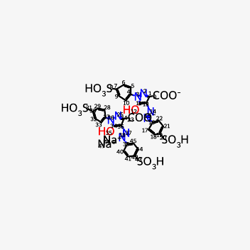 O=C([O-])c1nn(-c2ccc(S(=O)(=O)O)cc2)c(O)c1N=Nc1ccc(S(=O)(=O)O)cc1.O=C([O-])c1nn(-c2ccc(S(=O)(=O)O)cc2)c(O)c1N=Nc1ccc(S(=O)(=O)O)cc1.[Na+].[Na+]